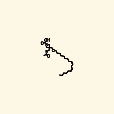 CCCCC/C=C\C/C=C\CCCCCCCCOCC1(CSC(C)=O)CN(C(=O)O)C1